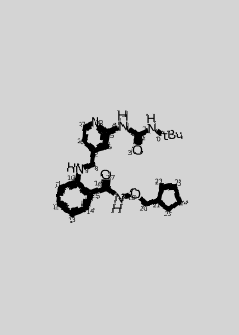 CC(C)(C)NC(=O)Nc1cc(CNc2ccccc2C(=O)NOCC2CCCC2)ccn1